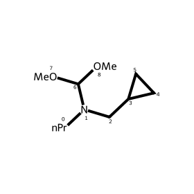 CCCN(CC1CC1)C(OC)OC